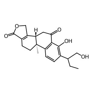 CCC(CO)c1ccc2c(c1O)C(=O)C[C@H]1C3=C(CC[C@]21C)C(=O)OC3